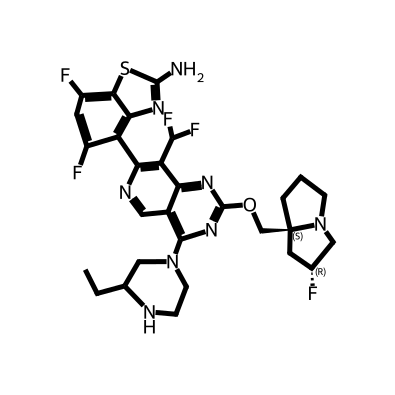 CCC1CN(c2nc(OC[C@@]34CCCN3C[C@H](F)C4)nc3c(C(F)F)c(-c4c(F)cc(F)c5sc(N)nc45)ncc23)CCN1